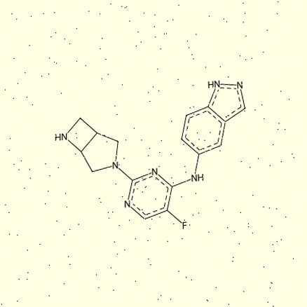 Fc1cnc(N2CC3CNC3C2)nc1Nc1ccc2[nH]ncc2c1